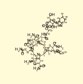 C/C1=C2N=C(/C=C3N=C(/C(C)=C4\[N-]C(C(CC(N)=O)C4(C)CCC(=O)NCC(C)OP(=O)([O-])OC4C(CO)OC(n5cnc6cc(C)c(C)cc65)C4O)C4(C)N=C1C(CCC(N)=O)C4(C)CC(N)=O)C(CCC(N)=O)C\3(C)C)C(CCC(N)=O)C/2(C)CC(N)=O.O.[Co+3].[OH-]